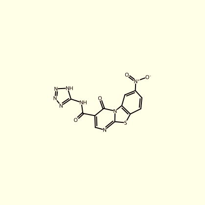 O=C(Nc1nnn[nH]1)c1cnc2sc3ccc([N+](=O)[O-])cc3n2c1=O